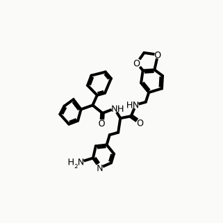 Nc1cc(CCC(NC(=O)C(c2ccccc2)c2ccccc2)C(=O)NCc2ccc3c(c2)OCO3)ccn1